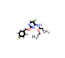 CCOC(CC)Nc1nc(OCc2ccc(F)cc2)ncc1F